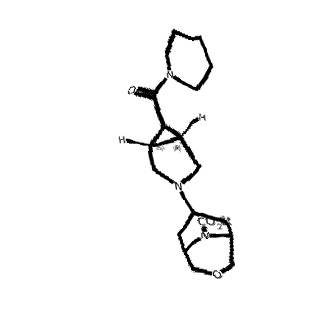 CCOC(=O)N1C2COCC1CC(N1C[C@@H]3C(C(=O)N4CCCCC4)[C@@H]3C1)C2